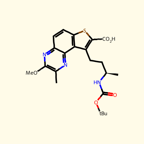 COc1nc2ccc3sc(C(=O)O)c(CC[C@@H](C)NC(=O)OC(C)(C)C)c3c2nc1C